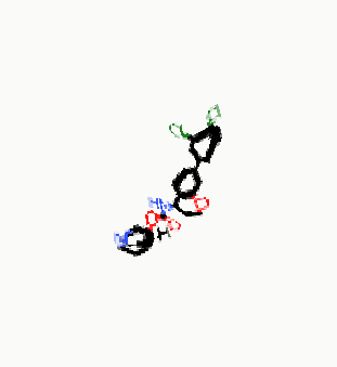 O=C(NC1CCOc2cc(-c3ccc(Cl)c(Cl)c3)ccc21)O[C@@H]1CN2CCC1CC2